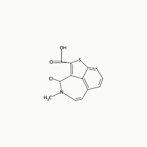 CN1C=Cc2cccc3sc(C(=O)O)c(c23)C1Cl